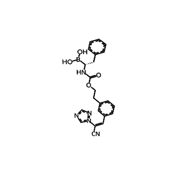 N#CC(=Cc1cccc(CCOC(=O)N[C@@H](Cc2ccccc2)B(O)O)c1)n1cncn1